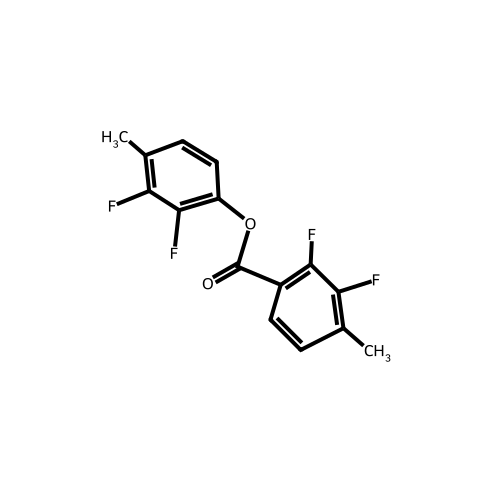 Cc1ccc(OC(=O)c2ccc(C)c(F)c2F)c(F)c1F